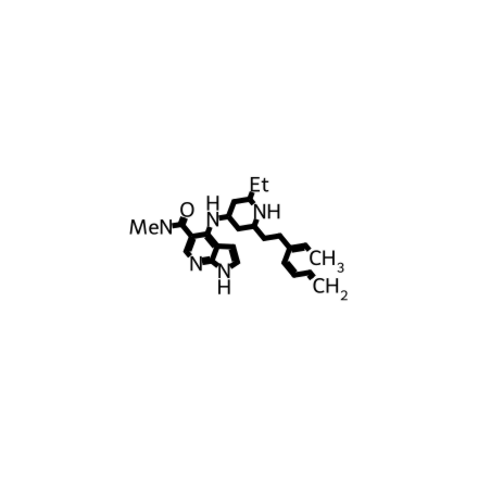 C=C/C=C\C(=C/C)CCC1CC(Nc2c(C(=O)NC)cnc3[nH]ccc23)CC(CC)N1